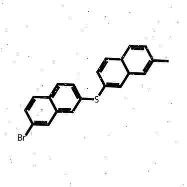 CC1=CC2C=C(Sc3ccc4ccc(Br)cc4c3)C=CC2C=C1